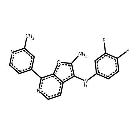 Cc1cc(-c2nccc3c(Nc4ccc(F)c(F)c4)c(N)oc23)ccn1